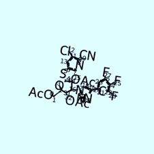 CC(=O)OC[C@H]1O[C@H](Sc2cnc(C#N)c(Cl)c2)[C@H](OC(C)=O)[C@@H](n2cc(-c3cc(F)c(F)c(F)c3)nn2)[C@H]1OC(C)=O